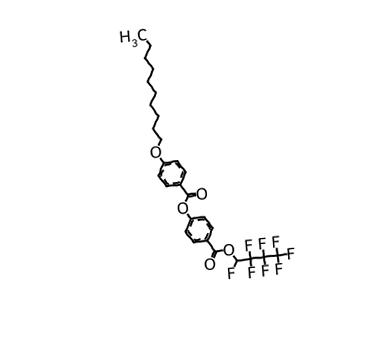 CCCCCCCCCCOc1ccc(C(=O)Oc2ccc(C(=O)OC(F)C(F)(F)C(F)(F)C(F)(F)F)cc2)cc1